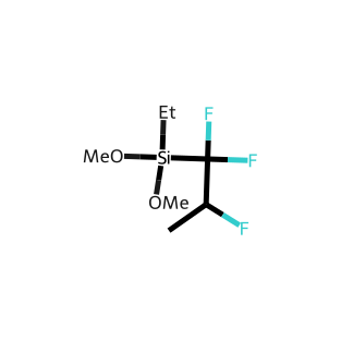 CC[Si](OC)(OC)C(F)(F)C(C)F